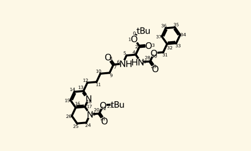 CC(C)(C)OC(=O)C(CNC(=O)CCCCc1ccc2c(n1)N(C(=O)OC(C)(C)C)CCC2)NC(=O)OCc1ccccc1